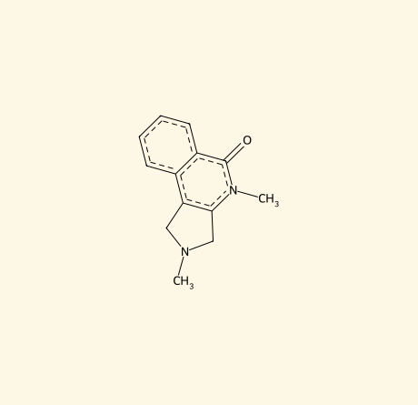 CN1Cc2c(n(C)c(=O)c3ccccc23)C1